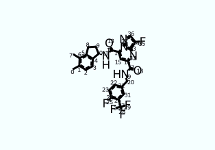 Cc1ccc2c(c1C)CC[C@@H]2NC(=O)c1cc(C(=O)NCc2ccc(F)c(C(F)(F)F)c2)nc2c(F)cnn12